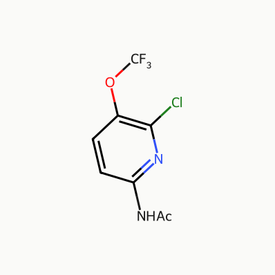 CC(=O)Nc1ccc(OC(F)(F)F)c(Cl)n1